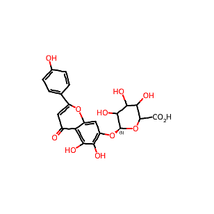 O=C(O)C1O[C@@H](Oc2cc3oc(-c4ccc(O)cc4)cc(=O)c3c(O)c2O)C(O)C(O)C1O